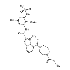 COc1c(NC(=O)c2cc3cccc(C(=O)N4CCCN(C(=O)OC(C)(C)C)CC4)c3n2C)cc(C(C)(C)C)cc1NS(C)(=O)=O